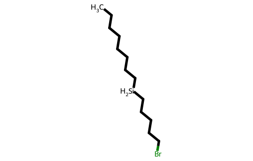 CCCCCCCC[SiH2]CCCCCBr